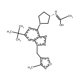 CC(O)=[SH][C@H]1CCN(c2nc(C(C)(C)C)nc3c2nnn3Cc2nonc2C)C1